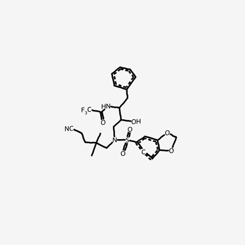 CC(C)(CCC#N)CN(CC(O)C(Cc1ccccc1)NC(=O)C(F)(F)F)S(=O)(=O)c1ccc2c(c1)OCO2